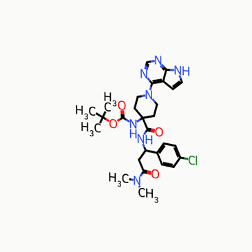 CN(C)C(=O)CC(NC(=O)C1(NC(=O)OC(C)(C)C)CCN(c2ncnc3[nH]ccc23)CC1)c1ccc(Cl)cc1